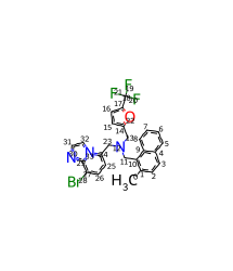 Cc1ccc2ccccc2c1CN(Cc1ccc(C(F)(F)F)o1)Cc1ccc(Br)c2nccn12